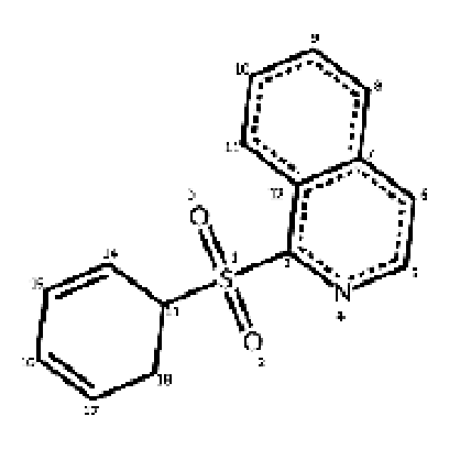 O=S(=O)(c1nccc2ccccc12)C1C=CC=CC1